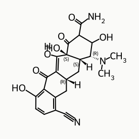 CN(C)[C@H]1C(O)C(C(N)=O)C(=O)[C@@]2(O)C(O)=C3C(=O)c4c(O)ccc(C#N)c4C[C@H]3C[C@@H]12